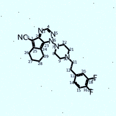 N#Cc1c2ncnn(N3CCN(CCc4ccc(F)c(F)c4)CC3)c-2c2c1CCCC2